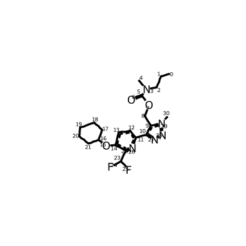 CCCN(C)C(=O)OCc1c(-c2ccc(OC3CCCCC3)c(C(F)F)n2)nnn1C